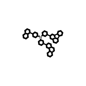 c1cc(-c2cc3c4c(cccc4c2)-c2ccccc2-3)cc(N(c2ccc(-c3cccc4ccccc34)cc2)c2cccc(-c3ccc4ccc5ccccc5c4c3)c2)c1